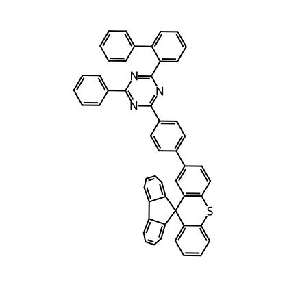 c1ccc(-c2nc(-c3ccc(-c4ccc5c(c4)C4(c6ccccc6S5)c5ccccc5-c5ccccc54)cc3)nc(-c3ccccc3-c3ccccc3)n2)cc1